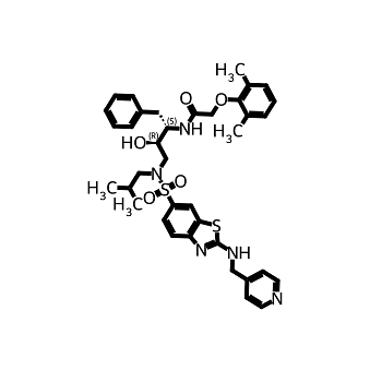 Cc1cccc(C)c1OCC(=O)N[C@@H](Cc1ccccc1)[C@H](O)CN(CC(C)C)S(=O)(=O)c1ccc2nc(NCc3ccncc3)sc2c1